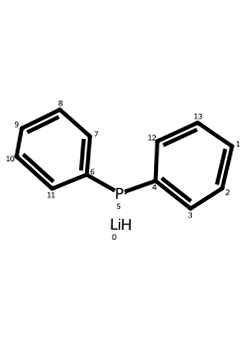 [LiH].c1ccc([P]c2ccccc2)cc1